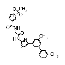 Cc1cccc(-c2cc(C)cc(-c3csc(NC(=O)CNC(=O)c4ccn(S(C)(=O)=O)c4)n3)c2)c1